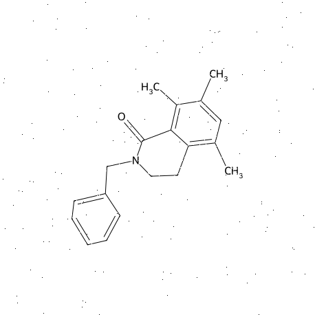 Cc1cc(C)c2c(c1C)C(=O)N(Cc1ccccc1)CC2